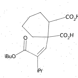 CC(C)COC(=O)C(=CC1(C(=O)O)CCCCC1C(=O)O)C(C)C